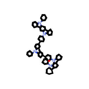 C1=Cc2c(c3ccc4c5ccccc5n(-c5ccc(-c6ccc7c(c6)c6cc(-c8ccc(-n9c%10ccccc%10c%10cc%11c(cc%109)c9ccccc9n%11-c9ccccc9)cc8)ccc6n7-c6ccccc6)cc5)c4c3n2-c2ccccc2)CC1